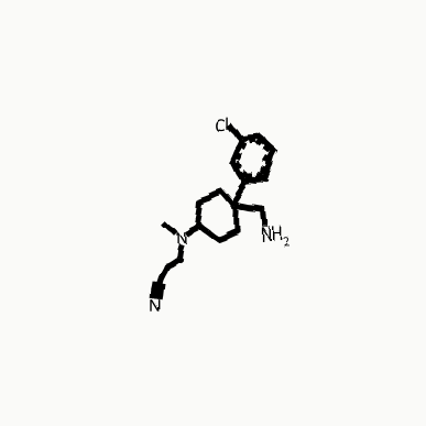 CN(CCC#N)C1CCC(CN)(c2cccc(Cl)c2)CC1